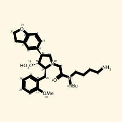 CCCCN(CCCCN)C(=O)CN1C[C@H](c2ccc3c(c2)CCO3)[C@@H](C(=O)O)[C@@H]1Cc1ccccc1OC